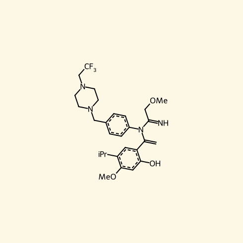 C=C(c1cc(C(C)C)c(OC)cc1O)N(C(=N)COC)c1ccc(CN2CCN(CC(F)(F)F)CC2)cc1